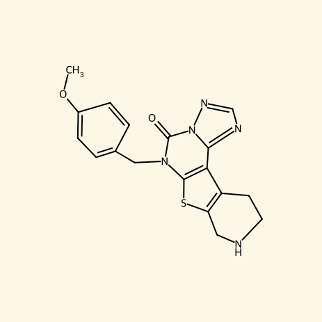 COc1ccc(Cn2c(=O)n3ncnc3c3c4c(sc32)CNCC4)cc1